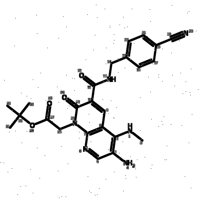 CNc1c(N)cnc2c1cc(C(=O)NCc1ccc(C#N)cc1)c(=O)n2CC(=O)OC(C)(C)C